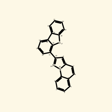 c1ccc2c(c1)ccc1cc(-c3cccc4c3sc3ccccc34)nn12